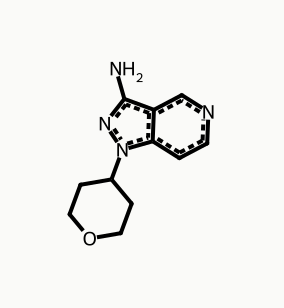 Nc1nn(C2CCOCC2)c2ccncc12